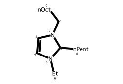 CCCCCCCCCN1C=CN(CC)C1CCCCC